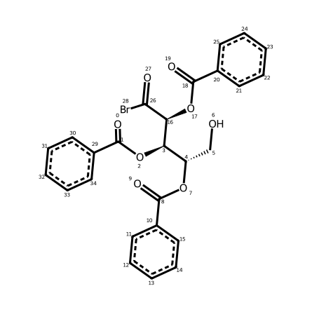 O=C(O[C@H]([C@H](CO)OC(=O)c1ccccc1)[C@H](OC(=O)c1ccccc1)C(=O)Br)c1ccccc1